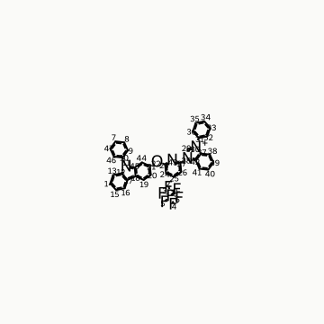 F[P-](F)(F)(F)(F)F.c1ccc(-n2c3ccccc3c3ccc(Oc4cccc(-n5c[n+](-c6ccccc6)c6ccccc65)n4)cc32)cc1